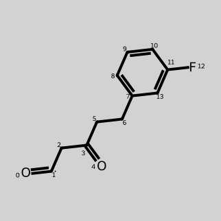 O=[C]CC(=O)CCc1cccc(F)c1